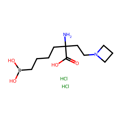 Cl.Cl.NC(CCCCB(O)O)(CCN1CCC1)C(=O)O